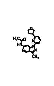 CC(=O)Nc1cc2c(cn1)c(C)nn2-c1cccc(C2CCOC2)n1